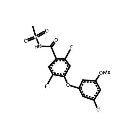 COc1cc(Cl)cc(Oc2cc(F)c(C(=O)NS(C)(=O)=O)cc2F)c1